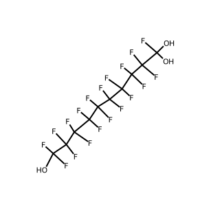 OC(O)(F)C(F)(F)C(F)(F)C(F)(F)C(F)(F)C(F)(F)C(F)(F)C(F)(F)C(F)(F)C(O)(F)F